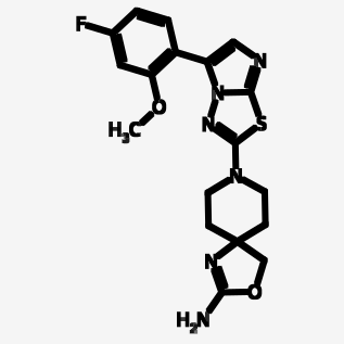 COc1cc(F)ccc1-c1cnc2sc(N3CCC4(CC3)COC(N)=N4)nn12